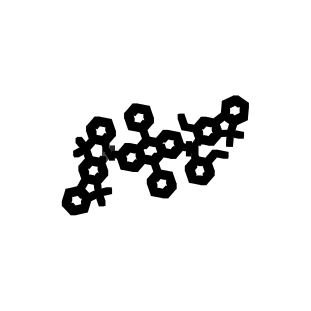 CCc1ccccc1N(c1ccc2c(-c3ccccc3)c3cc(N4c5ccccc5C(C)(C)c5cc6c(cc54)C(C)(C)c4ccccc4-6)ccc3c(-c3ccccc3)c2c1)c1cc2c(cc1CC)-c1ccccc1C2(C)C